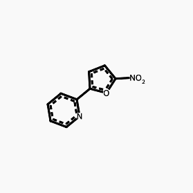 O=[N+]([O-])c1ccc(-c2ccccn2)o1